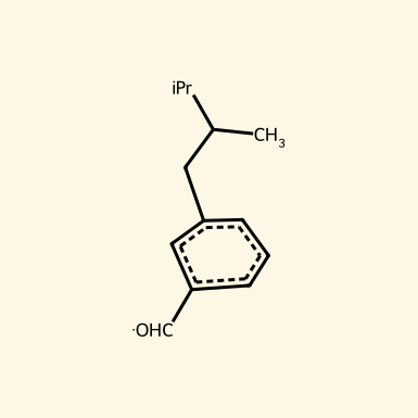 CC(C)C(C)Cc1cccc([C]=O)c1